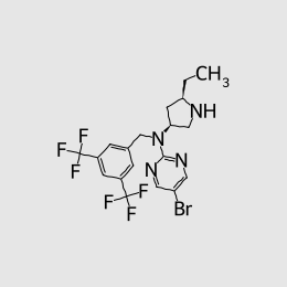 CC[C@@H]1C[C@H](N(Cc2cc(C(F)(F)F)cc(C(F)(F)F)c2)c2ncc(Br)cn2)CN1